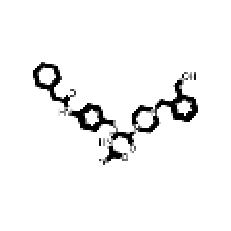 CCC(=O)N[C@H](Cc1ccc(NC(=O)CC2CCCCC2)cc1)C(=O)N1CCN(Cc2ccccc2CO)CC1